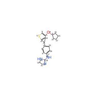 c1cc(C2c3scc(OC4CCCC4)c32)ccc1NC1=NCCN1